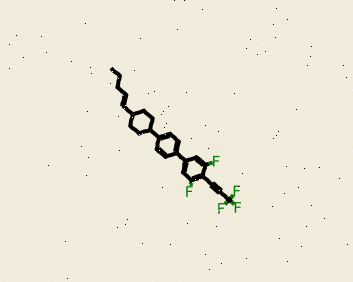 CCC/C=C/C1CCC(c2ccc(-c3cc(F)c(C#CC(F)(F)F)c(F)c3)cc2)CC1